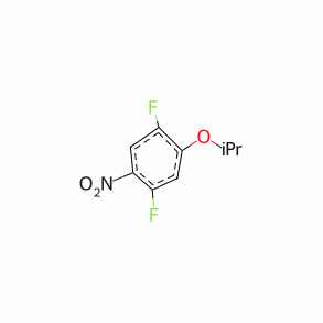 CC(C)Oc1cc(F)c([N+](=O)[O-])cc1F